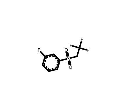 O=S(=O)(CC(F)(F)F)c1cccc(F)c1